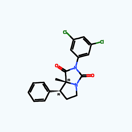 C[C@@]12C(=O)N(c3cc(Cl)cc(Cl)c3)C(=O)N1CC[C@@H]2c1ccccc1